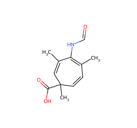 CC1=CC(C)(C(=O)O)C=CC(C)=C1NC=O